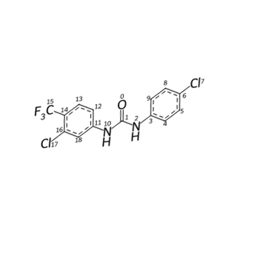 O=C(Nc1ccc(Cl)cc1)Nc1ccc(C(F)(F)F)c(Cl)c1